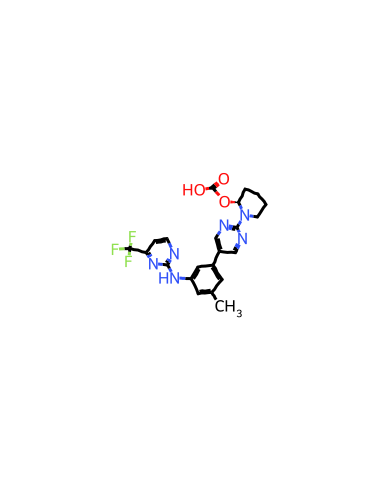 Cc1cc(Nc2nccc(C(F)(F)F)n2)cc(-c2cnc(N3CCCC[C@@H]3OC(=O)O)nc2)c1